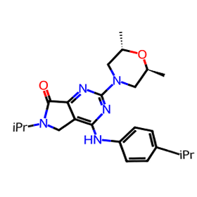 CC(C)c1ccc(Nc2nc(N3C[C@H](C)O[C@@H](C)C3)nc3c2CN(C(C)C)C3=O)cc1